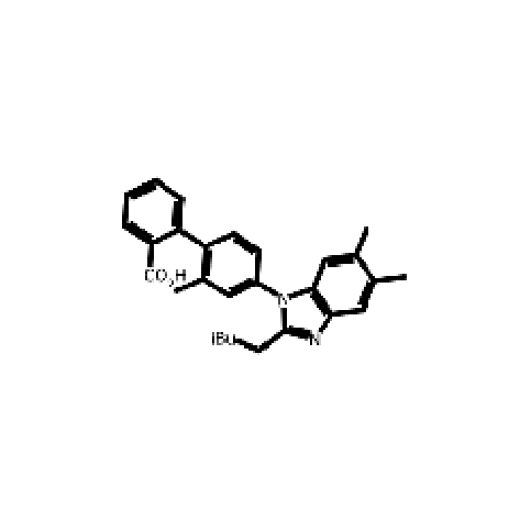 CCC(C)Cc1nc2cc(C)c(C)cc2n1-c1ccc(-c2ccccc2C(=O)O)c(C)c1